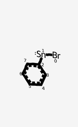 [Br][Sn][c]1ccccc1